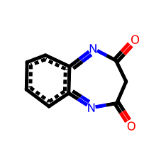 O=C1CC(=O)N=c2ccccc2=N1